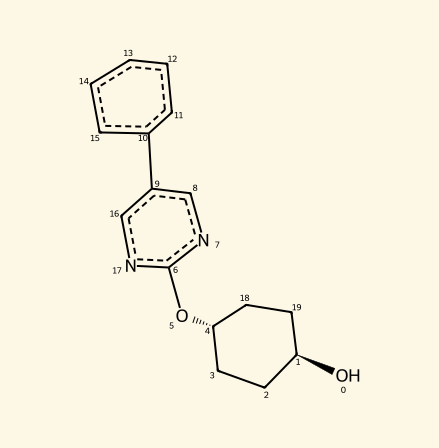 O[C@H]1CC[C@H](Oc2ncc(-c3ccccc3)cn2)CC1